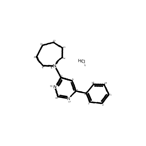 Cl.c1ccc(-c2cc(N3CCCCCC3)ncn2)cc1